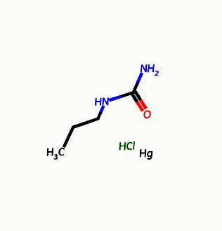 CCCNC(N)=O.Cl.[Hg]